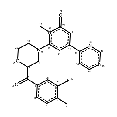 Cc1ccc(C(=O)C2CN(c3nc(-c4ccncn4)cc(=O)n3C)CCO2)cc1F